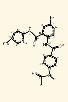 CC(=N)N(C)c1ccc(C(=O)Nc2ccc(F)cc2C(=O)Nc2ccc(Cl)cn2)cc1